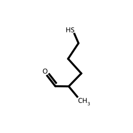 CC(C=O)CCCS